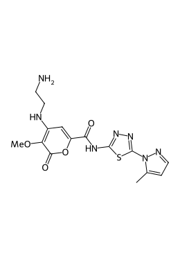 COc1c(NCCN)cc(C(=O)Nc2nnc(-n3nccc3C)s2)oc1=O